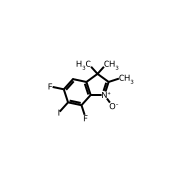 CC1=[N+]([O-])c2c(cc(F)c(I)c2F)C1(C)C